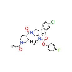 CC(C)C(=O)N1CCC(C(=O)N2C[C@H](c3ccc(Cl)cc3)[C@@](C)(N(C)C(=O)Oc3ccc(F)cc3)C2)CC1